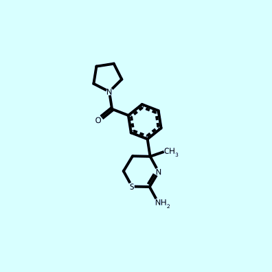 CC1(c2cccc(C(=O)N3CCCC3)c2)CCSC(N)=N1